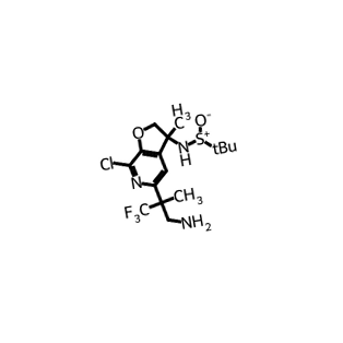 CC1(N[S+]([O-])C(C)(C)C)COc2c1cc(C(C)(CN)C(F)(F)F)nc2Cl